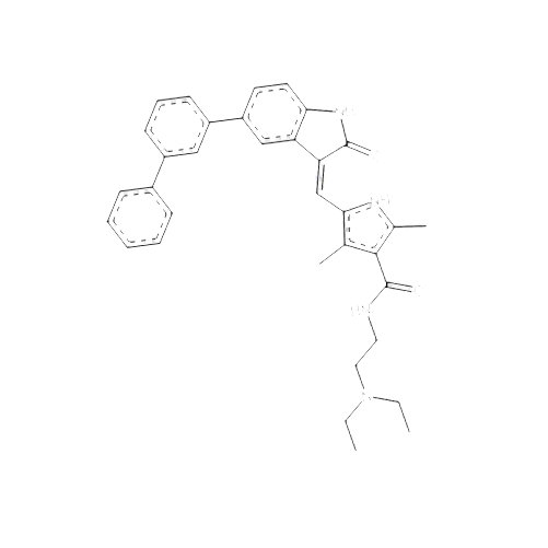 CCN(CC)CCNC(=O)c1c(C)[nH]c(/C=C2\C(=O)Nc3ccc(-c4cccc(-c5ccccc5)c4)cc32)c1C